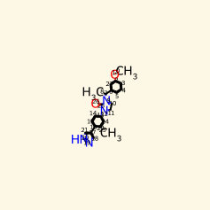 COc1cccc(C(C)N2CCN(c3ccc(-c4cn[nH]c4)c(C)c3)C2=O)c1